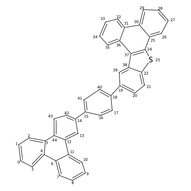 c1ccc2c(c1)c1ccccc1c1cc(-c3ccc(-c4ccc5sc6c7ccccc7c7ccccc7c6c5c4)cc3)ccc21